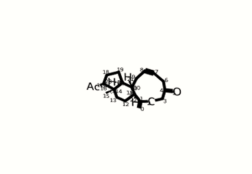 C=C1CCC(=O)CC#CC[C@@H]2[C@@H]1CC[C@]1(C)[C@@H](C(C)=O)CC[C@@H]21